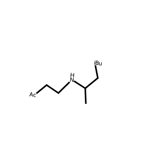 CCC(C)CC(C)NCCC(C)=O